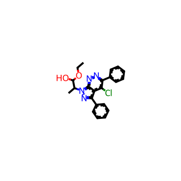 CCOC(O)C(C)n1nc(-c2ccccc2)c2c(Cl)c(-c3ccccc3)nnc21